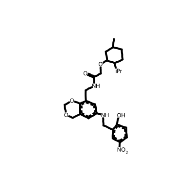 CC1CCC(C(C)C)C(OCC(=O)NCc2cc(NCc3cc([N+](=O)[O-])ccc3O)cc3c2OCOC3)C1